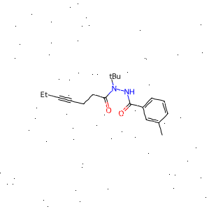 CCC#CCCC(=O)N(NC(=O)c1cccc(C)c1)C(C)(C)C